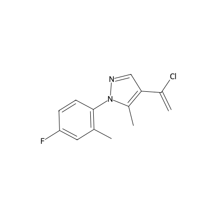 C=C(Cl)c1cnn(-c2ccc(F)cc2C)c1C